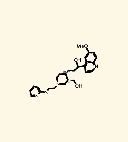 COc1ccc2nccc(C(O)CC[C@@H]3CCN(CCSc4ccccn4)C[C@@H]3CO)c2c1